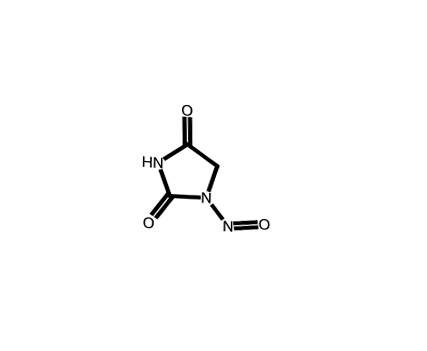 O=NN1CC(=O)NC1=O